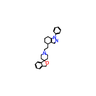 c1ccc(-n2ncc3c2CCCC3CCN2CCC3(CC2)OCc2ccccc23)cc1